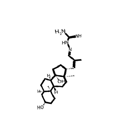 CC(C=NNC(=N)N)=C[C@H]1CC[C@]2(O)[C@@H]3CC[C@@H]4C[C@@H](O)CC[C@]4(C)[C@H]3CC[C@]12C